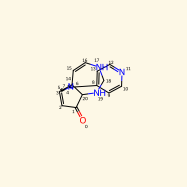 O=C1C=C2C=CN=C(c3ccncc3)C23C=CNCNC13